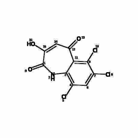 O=c1[nH]c2c(Cl)cc(Cl)c(Cl)c2c(=O)cc1O